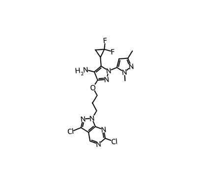 Cc1cc(-n2nc(OCCCn3nc(Cl)c4cnc(Cl)nc43)c(N)c2C2CC2(F)F)n(C)n1